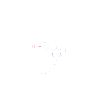 C=CCNc1cn([C@@H]2CC(O)[C@H](COP(=O)(O)O)O2)c(=O)[nH]c1=O